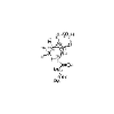 CC(C)NNC(=O)[C@@H]1CC(F)(F)[C@@H]2CN1C(=O)N2OS(=O)(=O)O